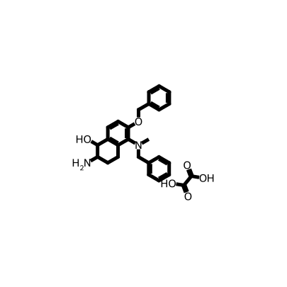 CN(Cc1ccccc1)c1c(OCc2ccccc2)ccc2c1CCC(N)C2O.O=C(O)C(=O)O